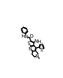 CN1CCc2nc3sc(C(=O)Nc4ccccc4)c(N)c3c(-c3cccs3)c2C1